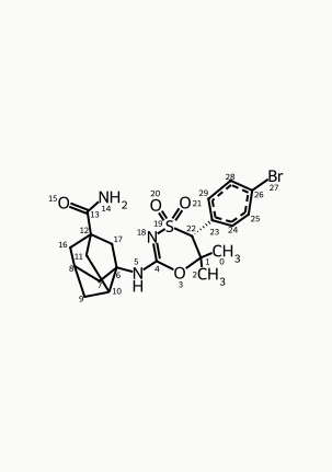 CC1(C)OC(NC23CC4CC2CC(C(N)=O)(C4)C3)=NS(=O)(=O)[C@@H]1c1ccc(Br)cc1